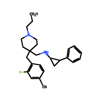 N#Cc1ccc(CC2(CN[C@@H]3CC3c3ccccc3)CCN(CCC(=O)O)CC2)c(F)c1